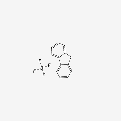 F[B-](F)(F)F.c1ccc2c(c1)Cc1ccccc1-2